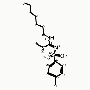 CCCCCCCN/C(=N/S(=O)(=O)c1ccc(C)cc1)SC